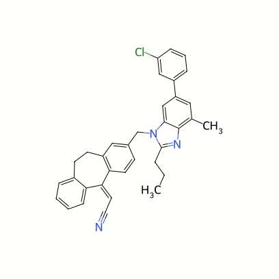 CCCc1nc2c(C)cc(-c3cccc(Cl)c3)cc2n1Cc1ccc2c(c1)CCc1ccccc1C2=CC#N